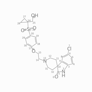 O=C1Nc2ccc(Cl)cc2C12CCN(CCOc1ccc(S(=O)(=O)C3(CO)CC3)cc1)CC2